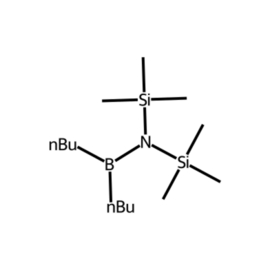 CCCCB(CCCC)N([Si](C)(C)C)[Si](C)(C)C